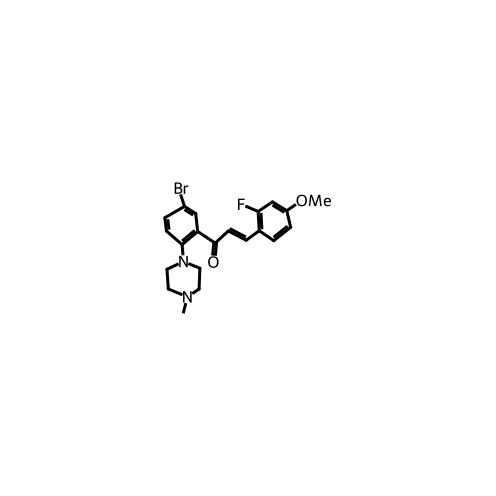 COc1ccc(/C=C/C(=O)c2cc(Br)ccc2N2CCN(C)CC2)c(F)c1